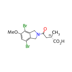 COc1cc(Br)c2c(c1Br)CN(C(=O)C[C@H](C)C(=O)O)C2